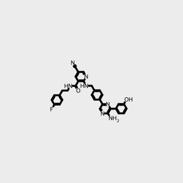 N#Cc1cnc(NCc2ccc(-c3cnc(N)c(-c4cccc(O)c4)n3)cc2)c(C(=O)NCCc2ccc(F)cc2)c1